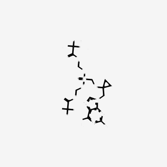 Cc1nc(N)nc2c1ncn2CC1(OCP(=O)(OCOC(=O)C(C)(C)C)OCOC(=O)C(C)(C)C)CC1